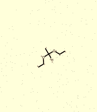 [2H]C(C)(OCC)OCC